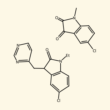 CCN1C(=O)C(Cc2ccncn2)c2cc(Cl)ccc21.CN1C(=O)C(=O)c2cc(Cl)ccc21